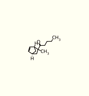 CCCCC(=O)C1(C)C[C@H]2C=C[C@H]1C2